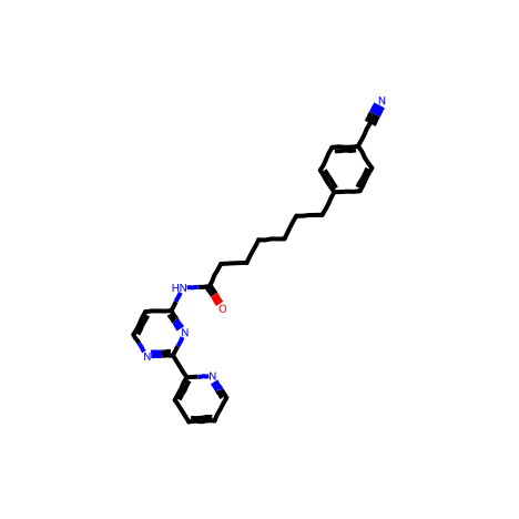 N#Cc1ccc(CCCCCCC(=O)Nc2ccnc(-c3ccccn3)n2)cc1